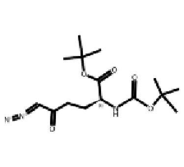 CC(C)(C)OC(=O)N[C@@H](CCC(=O)C=[N+]=[N-])C(=O)OC(C)(C)C